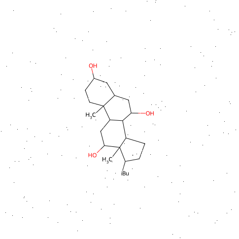 CCC(C)C1CCC2C3C(O)CC4CC(O)CCC4(C)C3CC(O)C12C